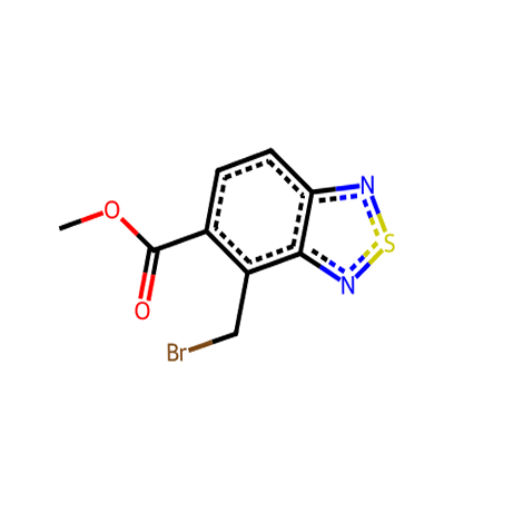 COC(=O)c1ccc2nsnc2c1CBr